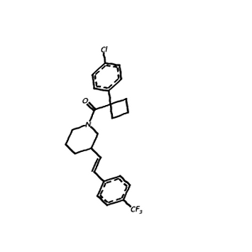 O=C(N1CCCC(/C=C/c2ccc(C(F)(F)F)cc2)C1)C1(c2ccc(Cl)cc2)CCC1